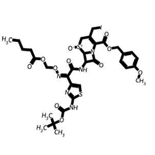 CCCCC(=O)OCO/N=C(\C(=O)NC1C(=O)N2C(C(=O)OCc3ccc(OC)cc3)=C(CI)C[S+]([O-])C12)c1csc(NC(=O)OC(C)(C)C)n1